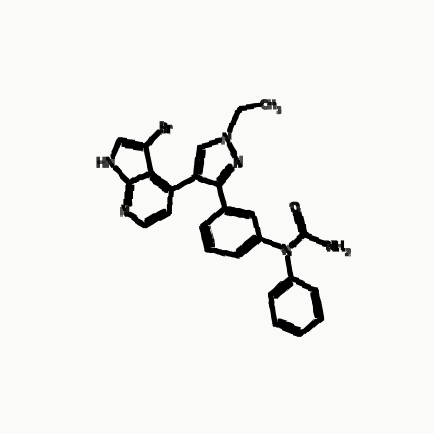 CCn1cc(-c2ccnc3[nH]cc(Br)c23)c(-c2cccc(N(C(N)=O)c3ccccc3)c2)n1